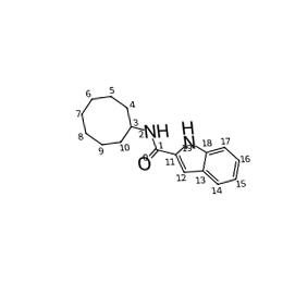 O=C(NC1CCCCCCC1)c1cc2ccccc2[nH]1